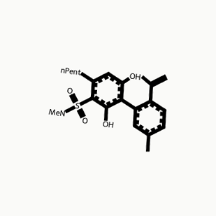 C=C(C)c1ccc(C)cc1-c1c(O)cc(CCCCC)c(S(=O)(=O)NC)c1O